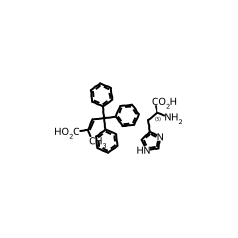 CC(=CC(c1ccccc1)(c1ccccc1)c1ccccc1)C(=O)O.N[C@@H](Cc1c[nH]cn1)C(=O)O